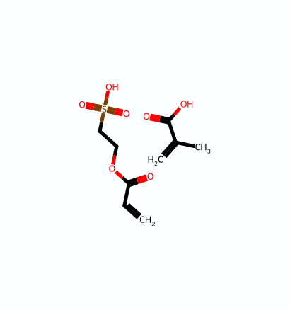 C=C(C)C(=O)O.C=CC(=O)OCCS(=O)(=O)O